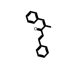 [CH2]C(=Cc1ccccc1)C(=O)C=Cc1ccccc1